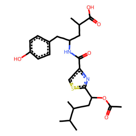 CC(=O)OC(CC(C)C(C)C)c1nc(C(=O)NC(Cc2ccc(O)cc2)CC(C)C(=O)O)cs1